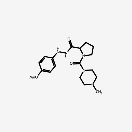 COc1ccc(NNC(=O)C2CCCN2C(=O)N2CCN(C)CC2)cc1